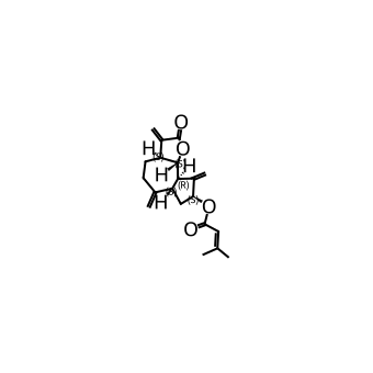 C=C1[C@@H]2[C@H]3OC(=O)C(=C)[C@@H]3CCC(=C)[C@H]2C[C@@H]1OC(=O)C=C(C)C